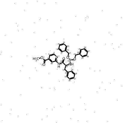 COC(=O)c1ccnc(NC(=O)C(Cc2ccccc2)NP(OCc2ccccc2)OCc2ccccc2)c1